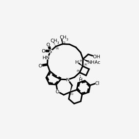 CC(=O)N[C@]1(CO)CCC[C@H](C)[C@@H](C)S(=O)(=O)NC(=O)c2ccc3c(c2)N(C[C@@H]2CC[C@H]21)C[C@@]1(CCCc2cc(Cl)ccc21)CO3